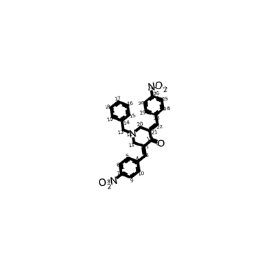 O=C1/C(=C/c2ccc([N+](=O)[O-])cc2)CN(Cc2ccccc2)C/C1=C\c1ccc([N+](=O)[O-])cc1